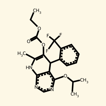 CCOC(=O)OC1=C(C)Nc2ncnc(OC(C)C)c2C1c1ccccc1C(F)(F)F